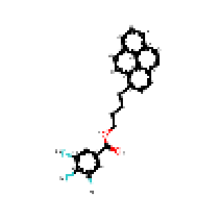 O=C(OCCCCc1ccc2ccc3cccc4ccc1c2c34)c1cc(F)c(F)c(F)c1